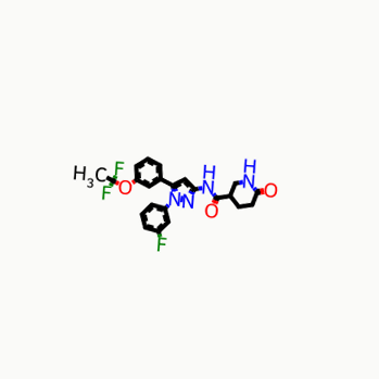 CC(F)(F)Oc1cccc(-c2cc(NC(=O)C3CCC(=O)NC3)nn2-c2cccc(F)c2)c1